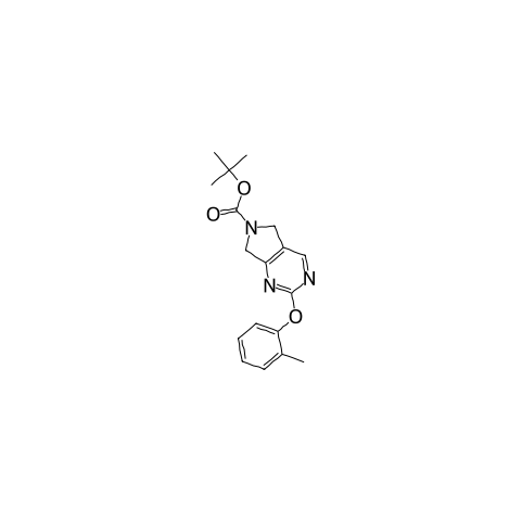 Cc1ccccc1Oc1ncc2c(n1)CN(C(=O)OC(C)(C)C)C2